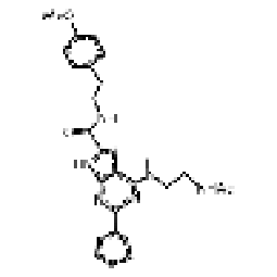 COc1ccc(CCNC(=O)c2cc3c(NCCNC(C)=O)nc(-c4ccccc4)nc3[nH]2)cc1